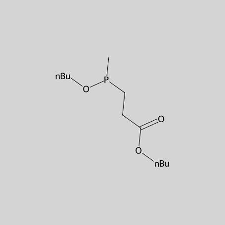 CCCCOC(=O)CCP(C)OCCCC